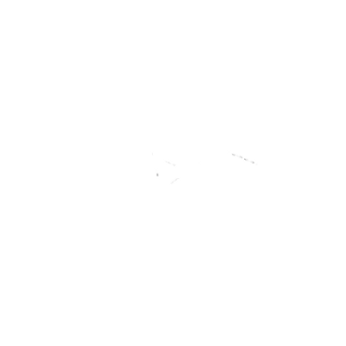 COc1cc(OCCCN=[N+]=[N-])ccc1C1OCC(C)O1